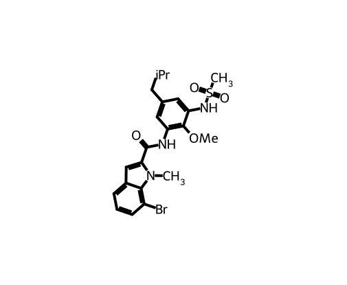 COc1c(NC(=O)c2cc3cccc(Br)c3n2C)cc(CC(C)C)cc1NS(C)(=O)=O